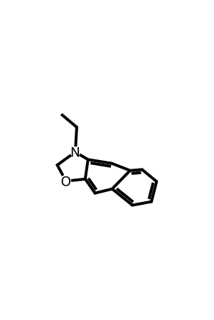 CCN1COc2cc3ccccc3cc21